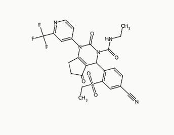 CCNC(=O)N1C(=O)N(c2ccnc(C(F)(F)F)c2)C2=C(C(=O)CC2)C1c1ccc(C#N)cc1S(=O)(=O)CC